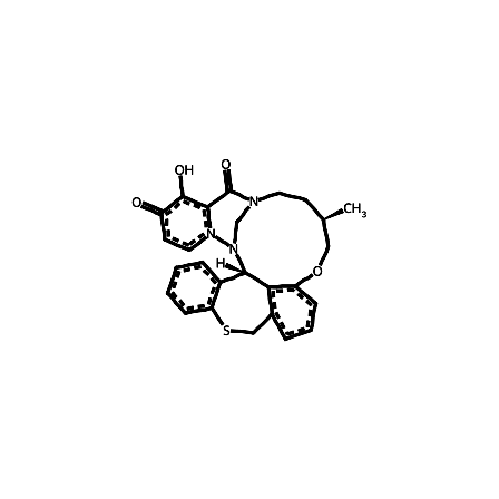 C[C@@H]1CCN2CN([C@H]3c4ccccc4SCc4cccc(c43)OC1)n1ccc(=O)c(O)c1C2=O